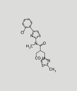 Cc1nc(CC(CC(=O)O)C(=O)N(C)c2nc(-c3ccccc3Cl)cs2)cs1